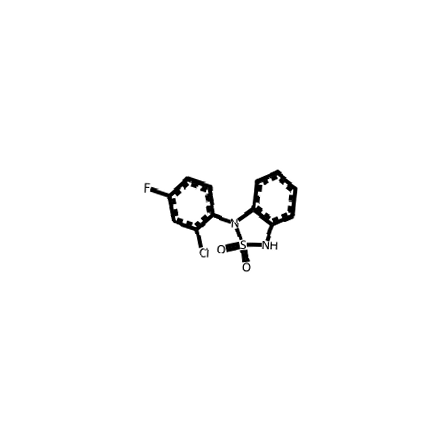 O=S1(=O)Nc2ccccc2N1c1ccc(F)cc1Cl